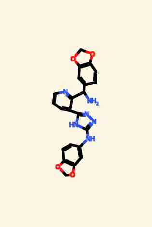 NC(c1ccc2c(c1)OCO2)c1ncccc1-c1nnc(Nc2ccc3c(c2)OCO3)[nH]1